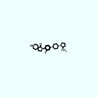 C[C@@H]1CCCN1[C@H]1CC[C@H](c2ccc(N3CCC4(CCNCC4)C3=O)c(F)c2)CC1